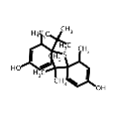 CC1C=C(O)C=CC1(SC1(C(C)(C)C)C=CC(O)=CC1C)C(C)(C)C